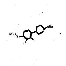 CCCCCCCCOc1ccc(C2CCC(CCCC)CC2)c(F)c1F